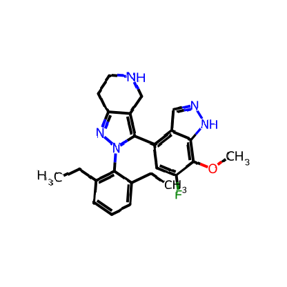 CCc1cccc(CC)c1-n1nc2c(c1-c1cc(F)c(OC)c3[nH]ncc13)CNCC2